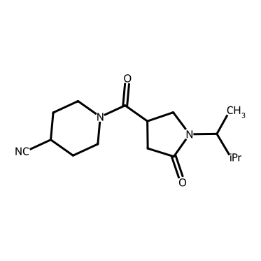 CC(C)C(C)N1CC(C(=O)N2CCC(C#N)CC2)CC1=O